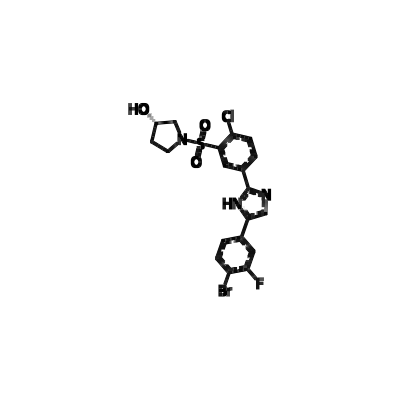 O=S(=O)(c1cc(-c2ncc(-c3ccc(Br)c(F)c3)[nH]2)ccc1Cl)N1CC[C@H](O)C1